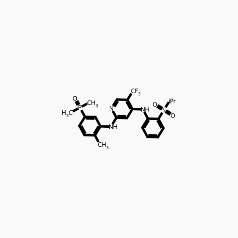 Cc1ccc(P(C)(C)=O)cc1Nc1cc(Nc2ccccc2S(=O)(=O)C(C)C)c(C(F)(F)F)cn1